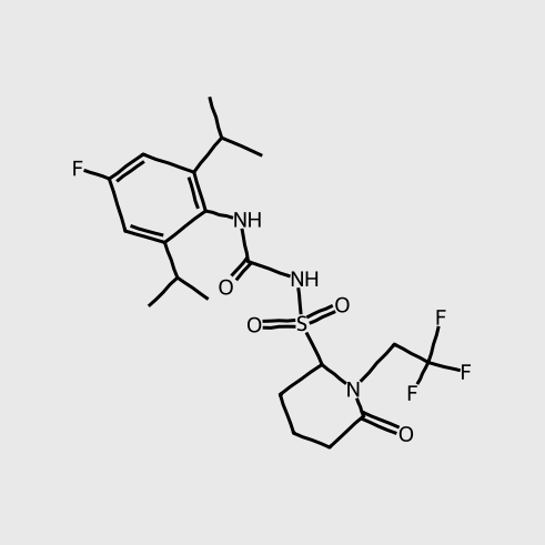 CC(C)c1cc(F)cc(C(C)C)c1NC(=O)NS(=O)(=O)C1CCCC(=O)N1CC(F)(F)F